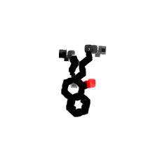 C=CC[C@@]1(CCCC(=O)O)CCc2ccccc2C1=O